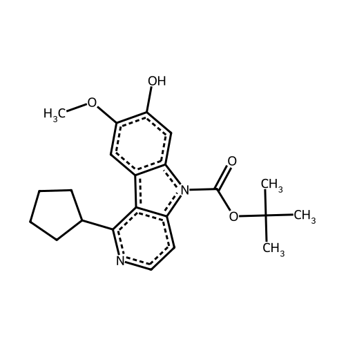 COc1cc2c3c(C4CCCC4)nccc3n(C(=O)OC(C)(C)C)c2cc1O